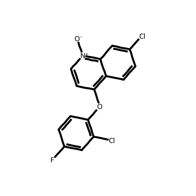 [O-][n+]1ccc(Oc2ccc(F)cc2Cl)c2ccc(Cl)cc21